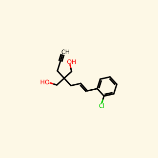 C#CCC(CO)(CO)C/C=C/c1ccccc1Cl